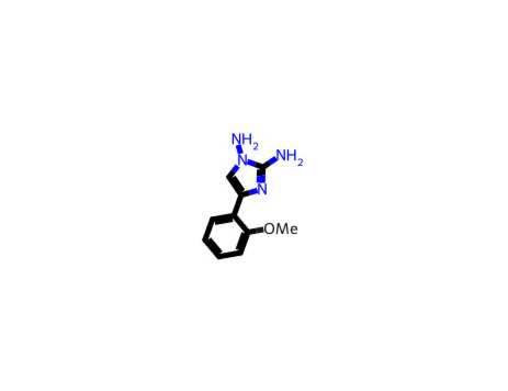 COc1ccccc1-c1cn(N)c(N)n1